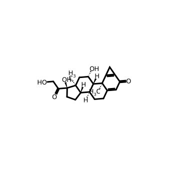 C[C@@]12C(=CC(=O)C3=C1C3)CC[C@@H]1[C@@H]2[C@@H](O)C[C@@]2(C)[C@H]1CC[C@]2(O)C(=O)CO